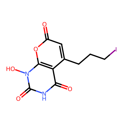 O=c1cc(CCCI)c2c(=O)[nH]c(=O)n(O)c2o1